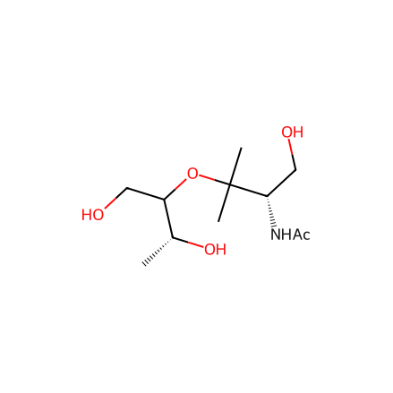 CC(=O)N[C@@H](CO)C(C)(C)OC(CO)[C@@H](C)O